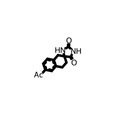 CC(=O)c1ccc2c(c1)CCC1(C2)NC(=O)NC1=O